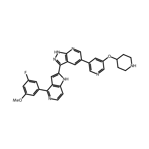 COc1cc(F)cc(-c2nccc3[nH]c(-c4n[nH]c5ncc(-c6cncc(OC7CCNCC7)c6)cc45)cc23)c1